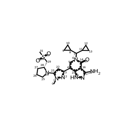 Cn1nc(-c2cn(C(C3CC3)C3CC3)c(=O)c3c(N)n[nH]c23)cc1N1CCC[C@@H]1CS(C)(=O)=O